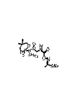 CCCCCCN([S+]([O-])CNC(=O)ON=C(C)SC)P1(=S)OCC(C)(C)CO1